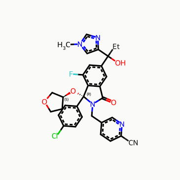 CCC(O)(c1cc(F)c2c(c1)C(=O)N(Cc1ccc(C#N)nc1)[C@@]2(O[C@H]1CCOC1)c1ccc(Cl)cc1)c1cn(C)cn1